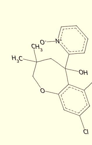 CC1(C)COc2cc(Cl)cc(Cl)c2C(O)(c2cccc[n+]2[O-])C1